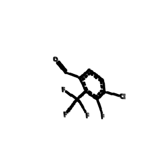 O=Cc1ccc(Cl)c(F)c1C(F)(F)F